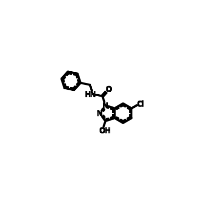 O=C(NCc1ccccc1)n1nc(O)c2ccc(Cl)cc21